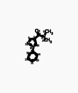 CN(C)C(=O)c1cnn(-c2ccccc2)c1